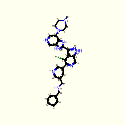 CN1CCN(c2cncc3[nH]c(-c4n[nH]c5cnc(-c6cncc(CNCc7ccccc7)c6)c(F)c45)nc23)CC1